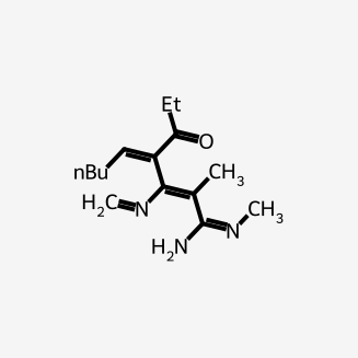 C=NC(=C(C)\C(N)=N/C)/C(=C\CCCC)C(=O)CC